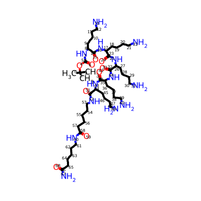 CC(C)(C)OC(=O)NC(CCCCN)C(=O)NC(CCCCN)C(=O)NC(CCCCN)C(=O)NC(CCCCN)C(=O)NC(CCCCN)C(=O)NCCCCCC(=O)NCCCCCC(N)=O